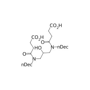 CCCCCCCCCCN(CC(O)CN(CCCCCCCCCC)C(=O)CCC(=O)O)C(=O)CCC(=O)O